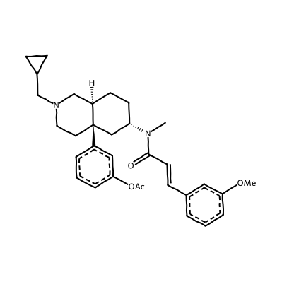 COc1cccc(C=CC(=O)N(C)[C@H]2CC[C@@H]3CN(CC4CC4)CC[C@@]3(c3cccc(OC(C)=O)c3)C2)c1